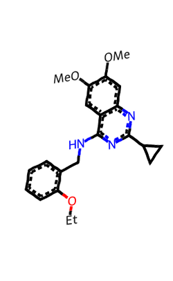 CCOc1ccccc1CNc1nc(C2CC2)nc2cc(OC)c(OC)cc12